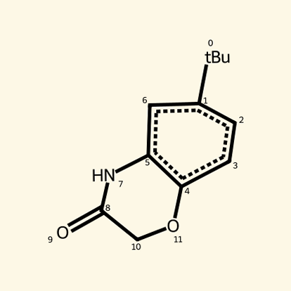 CC(C)(C)c1ccc2c(c1)NC(=O)CO2